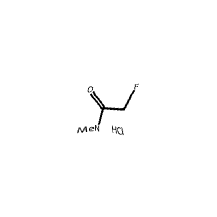 CNC(=O)CF.Cl